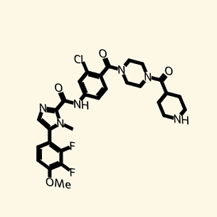 COc1ccc(-c2cnc(C(=O)Nc3ccc(C(=O)N4CCN(C(=O)C5CCNCC5)CC4)c(Cl)c3)n2C)c(F)c1F